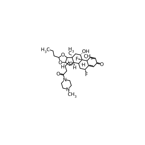 CCCC1O[C@@H]2C[C@H]3[C@@H]4C[C@H](F)C5=CC(=O)C=C[C@]5(C)[C@@]4(F)[C@@H](O)C[C@]3(C)[C@]2(C(=O)CCC(=O)N2CCN(C)CC2)O1